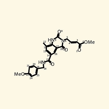 COC(=O)C=CCn1c(=O)[nH]c2c(C)cc(C(=O)NCc3ccc(OC)cc3)cc2c1=O